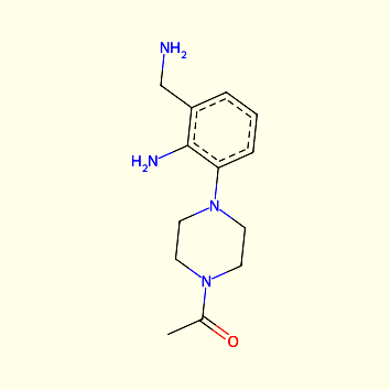 CC(=O)N1CCN(c2cccc(CN)c2N)CC1